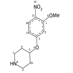 COc1cc(OC2CCNCC2)ccc1[N+](=O)[O-]